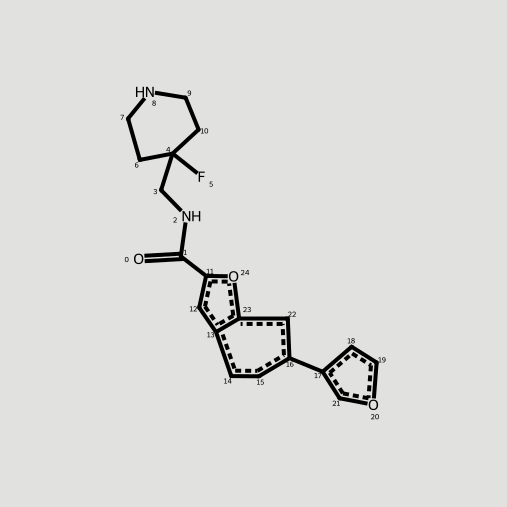 O=C(NCC1(F)CCNCC1)c1cc2ccc(-c3ccoc3)cc2o1